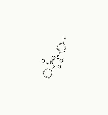 O=C1c2ccccc2C(=O)N1OS(=O)c1ccc(F)cc1